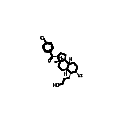 CC[C@H]1CC[C@@H]2[C@H](CC[C@]3(C)[C@@H](C(=O)c4ccc(Cl)cc4)CC[C@@H]23)[C@H]1CCCO